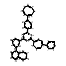 C1=CC(c2ccccc2)=CC=C(c2nc(-c3ccc(C4=C/C/C=C\C/C=C\4)cc3)nc(-c3cccc(-c4cccc5ccccc45)c3)n2)C1